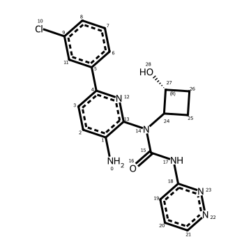 Nc1ccc(-c2cccc(Cl)c2)nc1N(C(=O)Nc1cccnn1)C1CC[C@H]1O